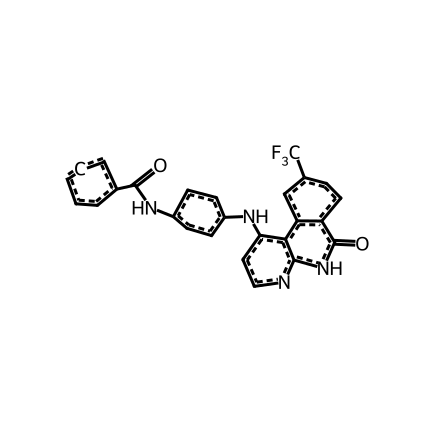 O=C(Nc1ccc(Nc2ccnc3[nH]c(=O)c4ccc(C(F)(F)F)cc4c23)cc1)c1ccccc1